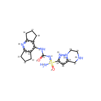 NS(=O)(=NC(=O)Nc1c2c(nc3c1CCC3)CCC2)c1cc2n(n1)CCNC2